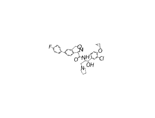 O=C(NC(CN1CCCC1)C(O)c1ccc(OC2CC2)c(Cl)c1)C1=NOCc2cc(-c3ccc(F)cc3)ccc21